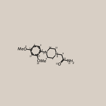 COc1ccc(N2CCN(CC(N)=O)CC2)c(OC)c1